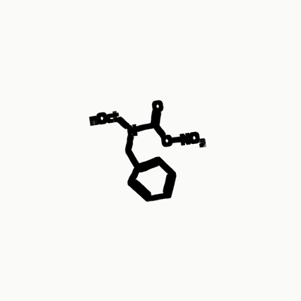 CCCCCCCCN(Cc1ccccc1)C(=O)O[N+](=O)[O-]